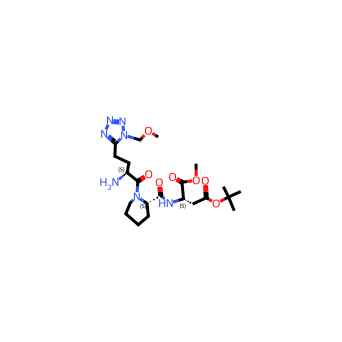 COCn1nnnc1CC[C@H](N)C(=O)N1CCCC[C@H]1C(=O)N[C@@H](CC(=O)OC(C)(C)C)C(=O)OC